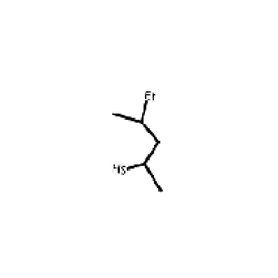 CCC(C)CC(C)S